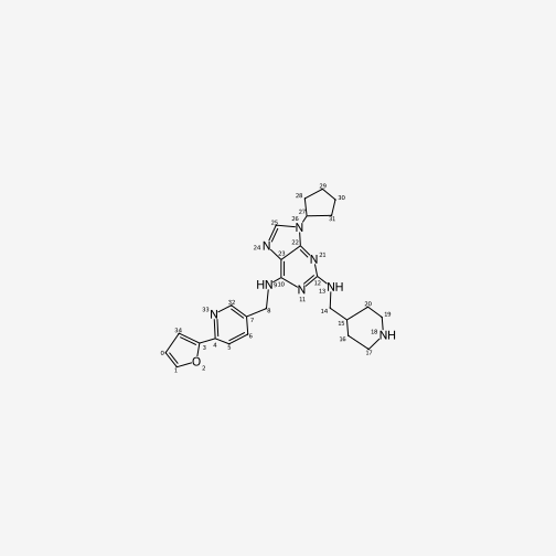 c1coc(-c2ccc(CNc3nc(NCC4CCNCC4)nc4c3ncn4C3CCCC3)cn2)c1